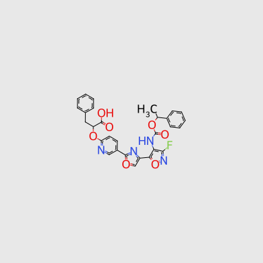 CC(OC(=O)Nc1c(F)noc1-c1coc(-c2ccc(OC(Cc3ccccc3)C(=O)O)nc2)n1)c1ccccc1